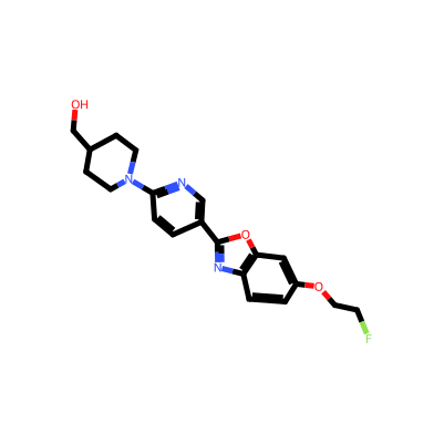 OCC1CCN(c2ccc(-c3nc4ccc(OCCF)cc4o3)cn2)CC1